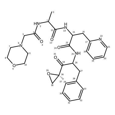 CC(NC(=O)CN1CCOCC1)C(=O)NC(Cc1ccccn1)C(=O)NC(Cc1ccccc1)C(=O)[C@@]1(C)CO1